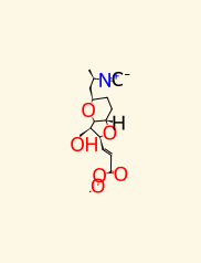 [C-]#[N+][C@H](C)C[C@H]1CC[C@@H]2O[C@@H](/C=C/C(=O)OOC)[C@@H](CO)C2O1